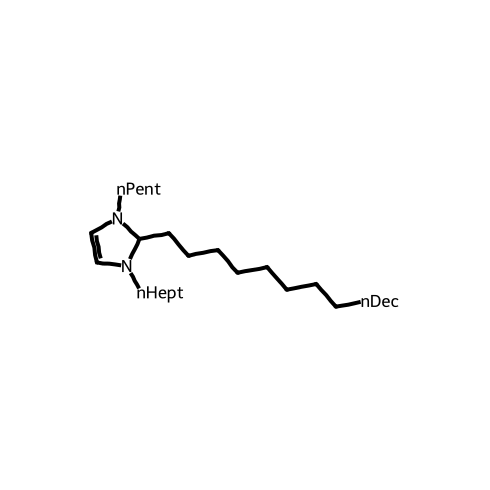 CCCCCCCCCCCCCCCCCCC1N(CCCCC)C=CN1CCCCCCC